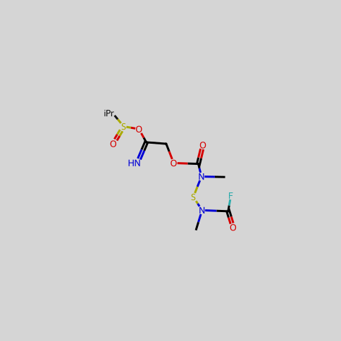 CC(C)S(=O)OC(=N)COC(=O)N(C)SN(C)C(=O)F